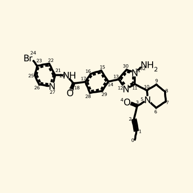 CC#CC(=O)N1CCCCC1c1nc(-c2ccc(C(=O)Nc3cc(Br)ccn3)cc2)cn1N